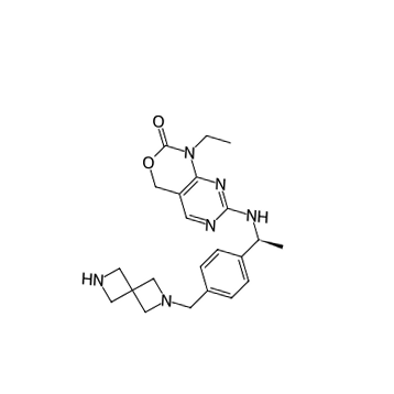 CCN1C(=O)OCc2cnc(N[C@@H](C)c3ccc(CN4CC5(CNC5)C4)cc3)nc21